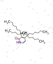 CCCCCCC(C)(CCCCC)c1cc[nH]c(=O)c1C(C)(CCCC)CCCCCC